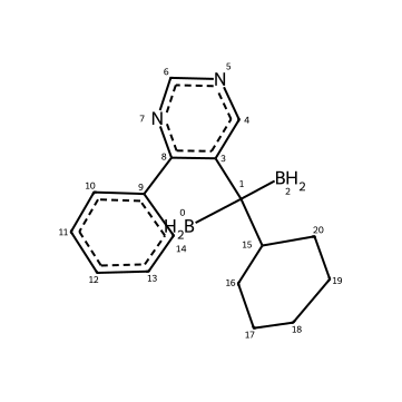 BC(B)(c1cncnc1-c1ccccc1)C1CCCCC1